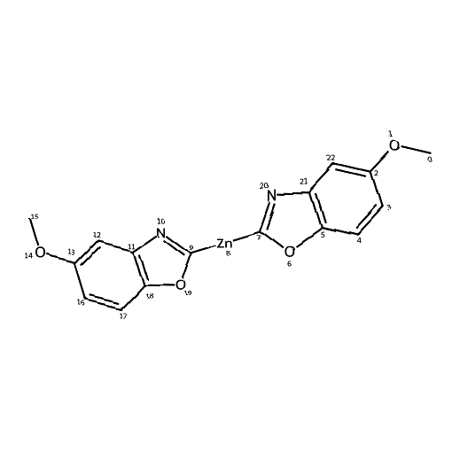 COc1ccc2o[c]([Zn][c]3nc4cc(OC)ccc4o3)nc2c1